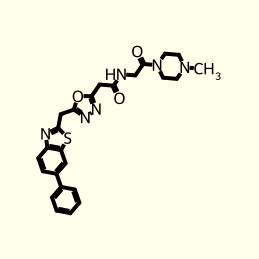 CN1CCN(C(=O)CNC(=O)Cc2nnc(Cc3nc4ccc(-c5ccccc5)cc4s3)o2)CC1